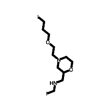 ICCCOCCN1CCOC(CNCI)C1